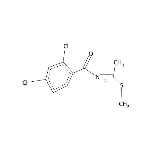 CS/C(C)=N/C(=O)c1ccc(Cl)cc1Cl